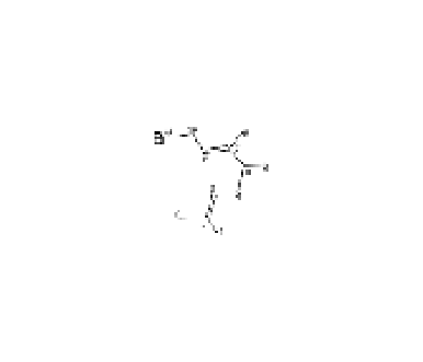 CC(C)=CCC(C)C(C)=CCBr